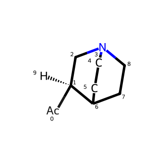 CC(=O)[C@H]1CN2CCC1CC2